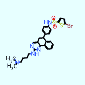 CN(C)CCCCNc1ncc2c(n1)-c1ccccc1C(c1ccc(NS(=O)(=O)c3ccc(Br)s3)cc1)C2